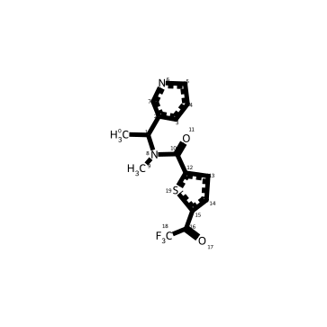 CC(c1cccnc1)N(C)C(=O)c1ccc(C(=O)C(F)(F)F)s1